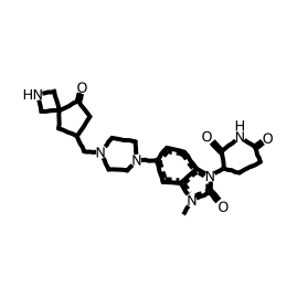 Cn1c(=O)n(C2CCC(=O)NC2=O)c2ccc(N3CCN(CC4CC(=O)C5(CNC5)C4)CC3)cc21